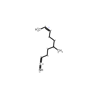 C/C=C\CCC(C)CCC=C=N